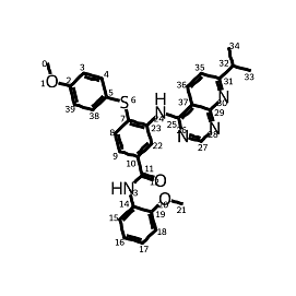 COc1ccc(Sc2ccc(C(=O)Nc3ccccc3OC)cc2Nc2ncnc3nc(C(C)C)ccc23)cc1